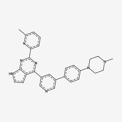 Cc1cccc(-c2nc(-c3cncc(-c4ccc(N5CCN(C)CC5)cc4)c3)c3cc[nH]c3n2)n1